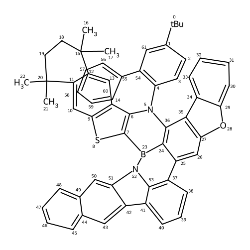 CC(C)(C)c1ccc(N2c3c(sc4cc5c(cc34)C(C)(C)CCC5(C)C)B3c4c(cc5oc6ccccc6c5c42)-c2cccc4c5cc6ccccc6cc5n3c24)c(-c2ccccc2)c1